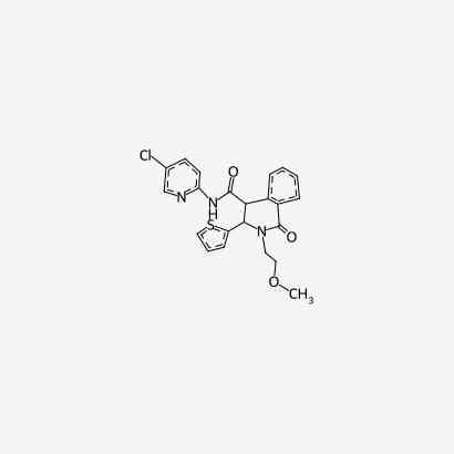 COCCN1C(=O)c2ccccc2C(C(=O)Nc2ccc(Cl)cn2)C1c1cccs1